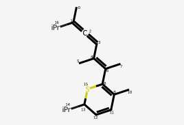 CC(=C=C/C(C)=C(\C)C1=C(C)C=CC(C(C)C)S1)C(C)C